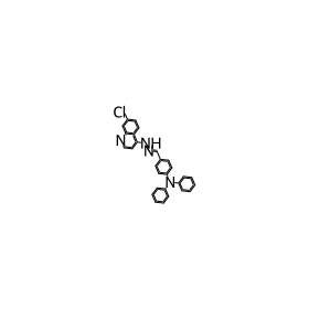 Clc1ccc2c(NN=Cc3ccc(N(c4ccccc4)c4ccccc4)cc3)ccnc2c1